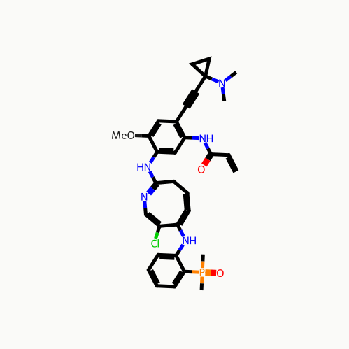 C=CC(=O)Nc1cc(N/C2=N/C=C(/Cl)C(Nc3ccccc3P(C)(C)=O)=C=CC2)c(OC)cc1C#CC1(N(C)C)CC1